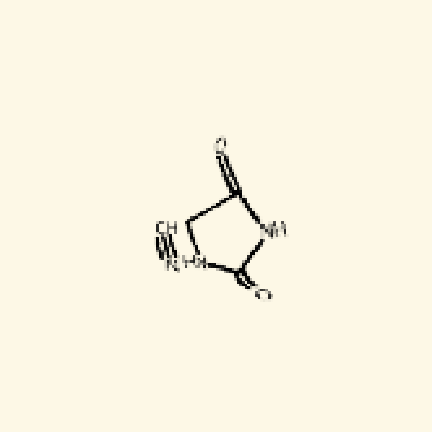 C#N.O=C1CNC(=O)N1